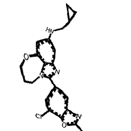 Nc1nc2cc(-c3nc4cc(NCC5CC5)cc5c4n3CCCO5)cc(Cl)c2o1